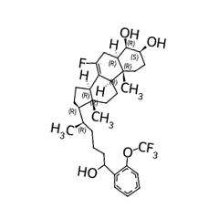 C[C@H](CCCC(O)c1ccccc1OC(F)(F)F)[C@H]1CC[C@H]2C3=C(F)C[C@H]4[C@@H](O)[C@@H](O)CC[C@]4(C)[C@H]3CC[C@]12C